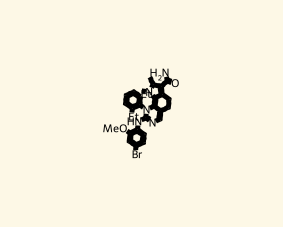 CCc1cccc(CC)c1N1C(Nc2ccc(Br)cc2OC)=NC=C2CCC3=C(C(N)=O)C(C)N(C)C3=C21